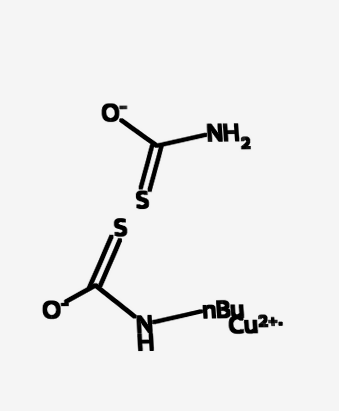 CCCCNC([O-])=S.NC([O-])=S.[Cu+2]